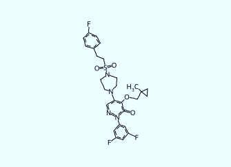 CC1(COc2c(N3CCN(S(=O)(=O)CCc4ccc(F)cc4)CC3)cnn(-c3cc(F)cc(F)c3)c2=O)CC1